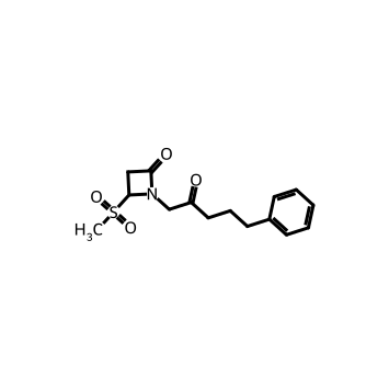 CS(=O)(=O)C1CC(=O)N1CC(=O)CCCc1ccccc1